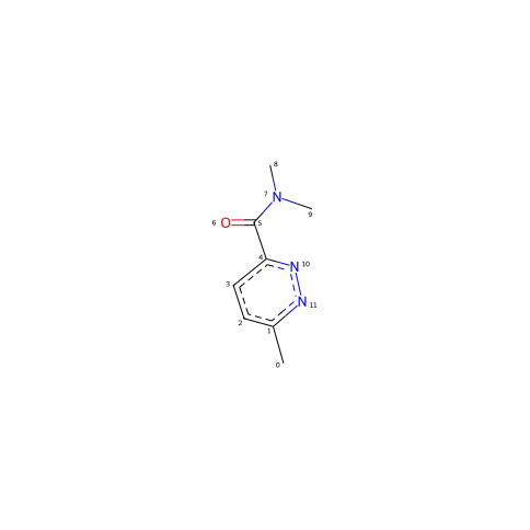 Cc1ccc(C(=O)N(C)C)nn1